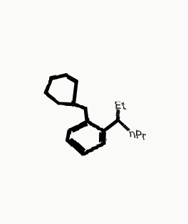 CCCC(CC)c1ccccc1C[C]1CCCCC1